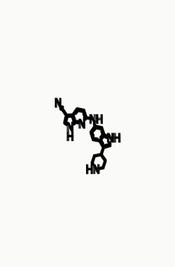 N#Cc1c[nH]c2nc(Nc3ccc4c(C5CCNCC5)c[nH]c4c3)ccc12